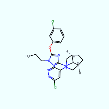 CCCn1nc(NC2[C@@H]3CC[C@H]2CN(c2cnnc(Cl)c2)C3)nc1Oc1cccc(Cl)c1